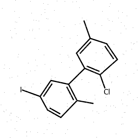 Cc1ccc(Cl)c(-c2cc(I)ccc2C)c1